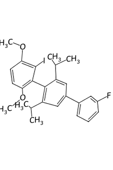 COc1ccc(OC)c(-c2c(C(C)C)cc(-c3cccc(F)c3)cc2C(C)C)c1I